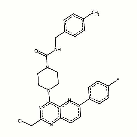 Cc1ccc(CNC(=O)N2CCN(c3nc(CCl)nc4ccc(-c5ccc(F)cc5)nc34)CC2)cc1